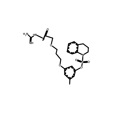 Cc1cc(OCCCOCC(=O)ONC(=N)N)cc(OS(=O)(=O)N2CCCc3ccccc32)c1